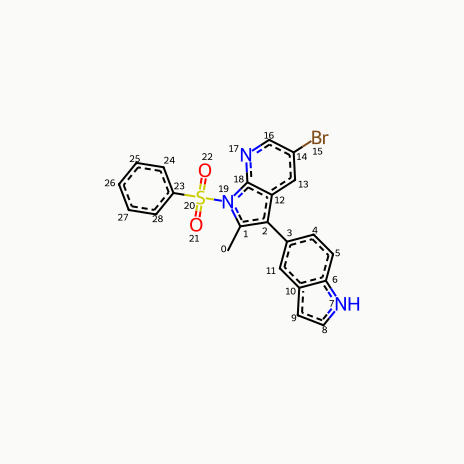 Cc1c(-c2ccc3[nH]ccc3c2)c2cc(Br)cnc2n1S(=O)(=O)c1ccccc1